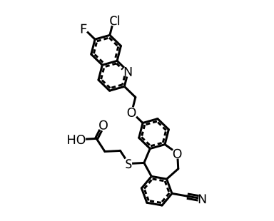 N#Cc1cccc2c1COc1ccc(OCc3ccc4cc(F)c(Cl)cc4n3)cc1C2SCCC(=O)O